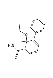 CCOC1(C)C(c2ccccc2)=CC=CC1C(N)=O